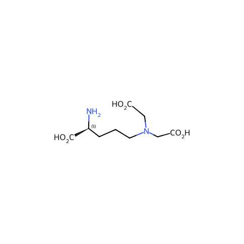 N[C@@H](CCCN(CC(=O)O)CC(=O)O)C(=O)O